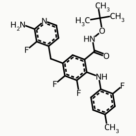 Cc1ccc(Nc2c(C(=O)NOC(C)(C)C)cc(Cc3ccnc(N)c3F)c(F)c2F)c(F)c1